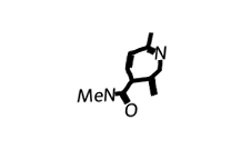 C=C1CN=C(C)C=CC1C(=O)NC